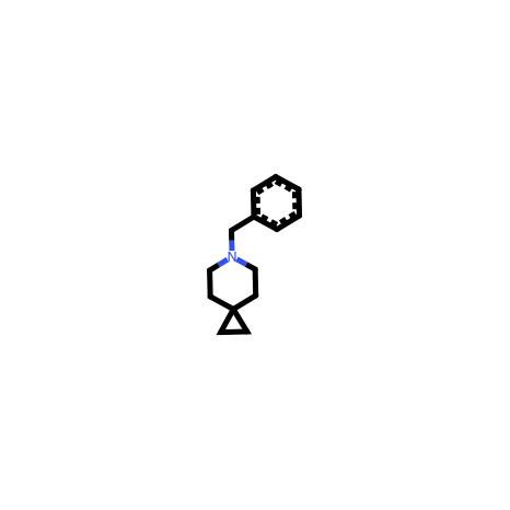 c1ccc(CN2CCC3(CC2)CC3)cc1